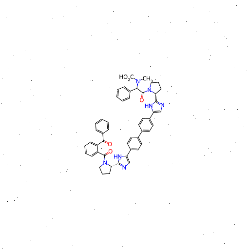 CN(C(=O)O)[C@@H](C(=O)N1CCC[C@H]1c1ncc(-c2ccc(-c3ccc(-c4cnc([C@@H]5CCCN5C(=O)c5ccccc5C(=O)c5ccccc5)[nH]4)cc3)cc2)[nH]1)c1ccccc1